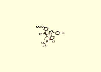 COc1ccc(C2=NC(c3ccc(Cl)cc3)C(c3ccc(Cl)cc3)N2C(=O)N2CCN(OC(=O)N(C)C)CC2)c(OC(C)C)c1